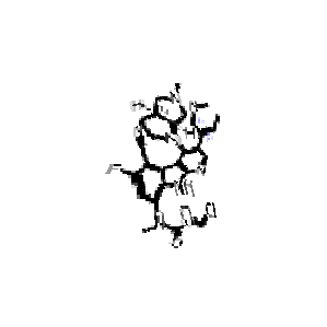 C/C=C(\C=N/C)c1cnc2[nH]c3c(N(C)C(=O)OCCl)cc(F)c(C#N)c3c2c1N1CC[C@H]2CN(C)C[C@H]21